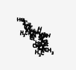 [2H]c1nc(Nc2cc(N3CCN(CCO)CC3C)nc(CC)n2)sc1C(=O)Nc1c(Cl)cc(C)c(C)c1CC